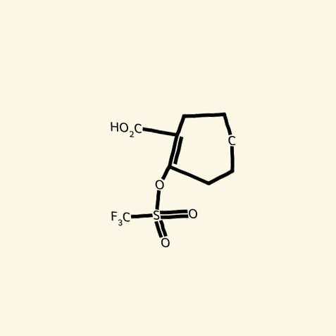 O=C(O)C1=C(OS(=O)(=O)C(F)(F)F)CCCCC1